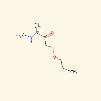 CCCOCCC(=O)[C@H](C)NC